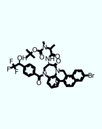 COc1ccc2cc(Br)ccc2c1CN1C(=O)[C@@H](NC(=O)C(C)N(C)C(=O)OC(C)(C)C)CN(C(=O)c2ccc([C@H](O)C(F)(F)F)cc2)c2ccccc21